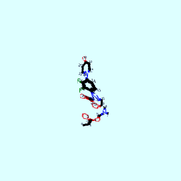 CCC(=O)OCN(C)C[C@H]1CN(c2ccc(N3C=CC(=O)CC3)c(F)c2F)C(=O)O1